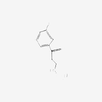 O=C(O)NCCC(=O)c1cccc(I)c1